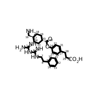 N=C(N)NC(=N)NCCc1ccccc1.NC[C@H]1CC[C@H](C(=O)Oc2ccc(CCC(=O)O)cc2)CC1